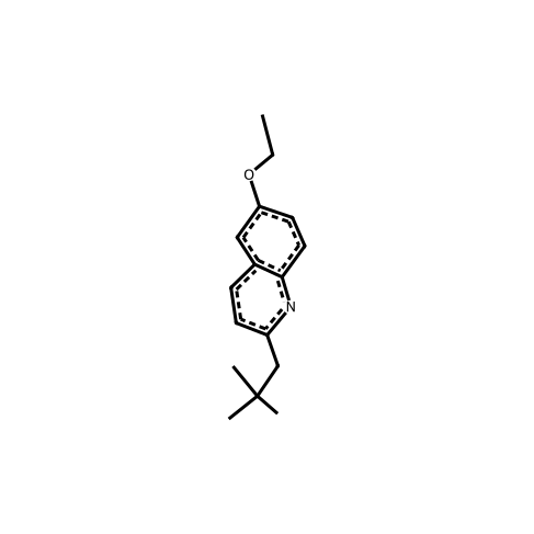 CCOc1ccc2nc(CC(C)(C)C)ccc2c1